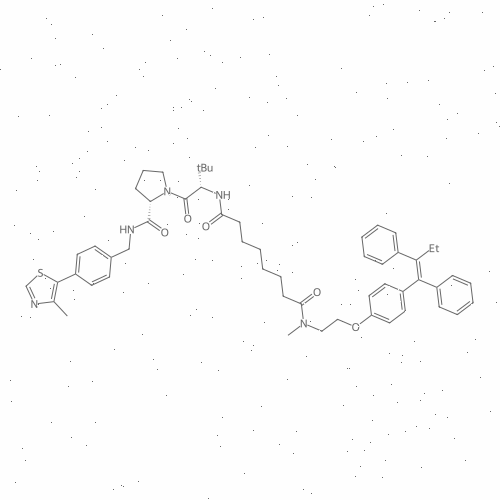 CC/C(=C(\c1ccccc1)c1ccc(OCCN(C)C(=O)CCCCCCC(=O)N[C@H](C(=O)N2CCC[C@H]2C(=O)NCc2ccc(-c3scnc3C)cc2)C(C)(C)C)cc1)c1ccccc1